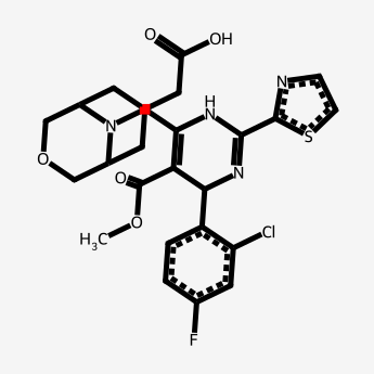 COC(=O)C1=C(CN2C3COCC2CC(CC(=O)O)C3)NC(c2nccs2)=NC1c1ccc(F)cc1Cl